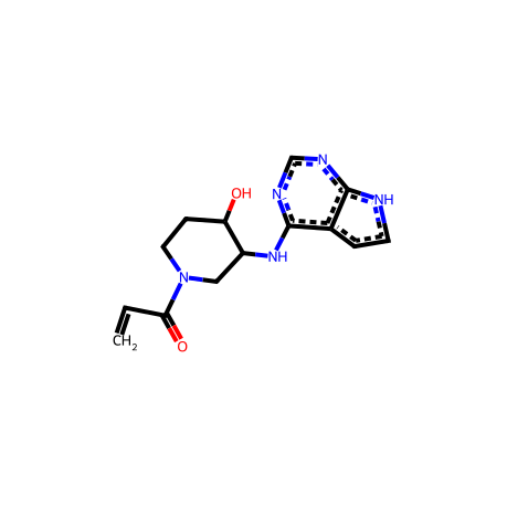 C=CC(=O)N1CCC(O)C(Nc2ncnc3[nH]ccc23)C1